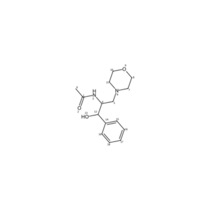 CC(=O)NC(CN1CCOCC1)C(O)c1ccccc1